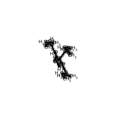 CCC(OC(=O)CCC(=O)C[SH](=P)=S)C(=O)N(CCCNC(=O)CCCCCCCO[C@@H]1OC(COC(C)=O)[C@H](OC(C)=O)[C@H](C)C1NC(C)=O)CCCN(CCCNC(=O)CCCCCCCO[C@@H]1OC(COC(C)=O)[C@H](OC(C)=O)[C@H](C)C1NC(C)=O)C(=O)CCCCCCCO[C@@H]1OC(COC(C)=O)[C@H](OC(C)=O)[C@H](C)C1NC(C)=O